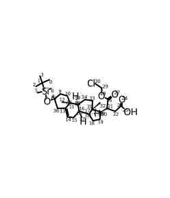 CC(C)(C)[Si](C)(C)O[C@H]1CC[C@@]2(C)C(=CC[C@H]3[C@@H]4CC[C@H](C(CC(=O)O)C(=O)OCCl)[C@@]4(C)CC[C@@H]32)C1